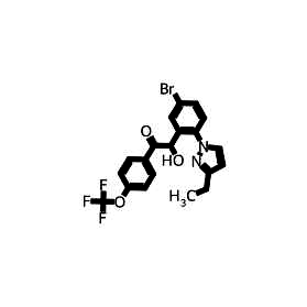 CCc1ccn(-c2ccc(Br)cc2C(O)C(=O)c2ccc(OC(F)(F)F)cc2)n1